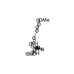 COC(=O)CCOCCOCCOCCCCCCOc1cccc(C(C)NC(=O)c2cccc(NC3(c4nnc(-c5ccncc5)[nH]4)CCN(C(=O)OC(C)(C)C)CC3)c2)c1